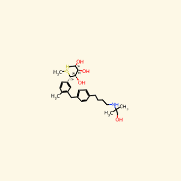 Cc1ccc([C@H]2[C@H](O)[C@H](O)[C@H](O)C[SH]2C)cc1Cc1ccc(CCCCNC(C)(C)CO)cc1